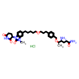 C[C@@H](OCc1ccc(CCCOCCCCCc2ccc3c(c2)n(C)c(=O)n3C2CCC(=O)NC2=O)cc1)[C@@H](N)CCC(N)=O.Cl